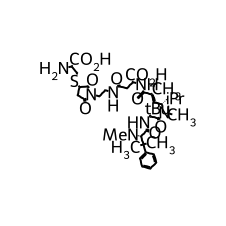 CN[C@H](C(=O)NC(C(=O)N(C)[C@H](/C=C(\C)C(=O)N[C@@H](CC(=O)NCCN1C(=O)CC(SC[C@H](N)C(=O)O)C1=O)C(=O)O)C(C)C)C(C)(C)C)C(C)(C)c1ccccc1